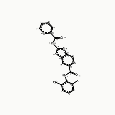 Cc1cccc(Cl)c1NC(=O)c1ccc2nc(NC(=O)c3ccccn3)sc2c1